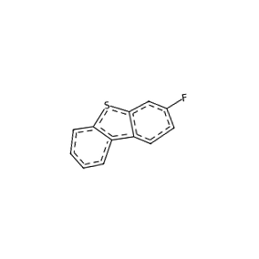 Fc1ccc2c(c1)sc1ccccc12